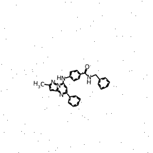 Cc1cc2nc(-c3ccccc3)cc(Nc3ccc(C(=O)NCc4ccccc4)cc3)n2n1